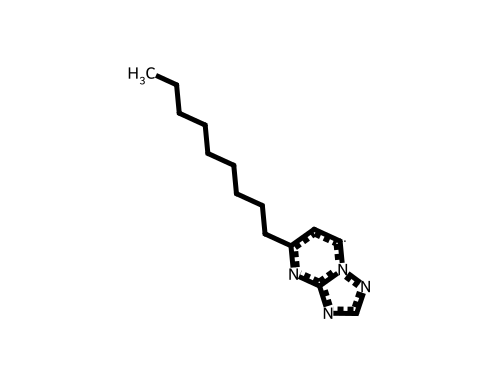 CCCCCCCCCc1c[c]n2ncnc2n1